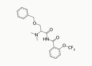 CN(C)C(COCc1ccccc1)C(=O)NC(=O)c1ccccc1OC(F)(F)F